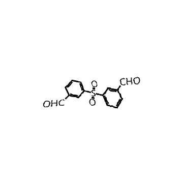 O=Cc1cccc(S(=O)(=O)c2cccc(C=O)c2)c1